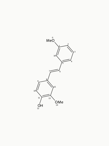 COc1cccc(C=Cc2ccc(O)c(OC)c2)c1